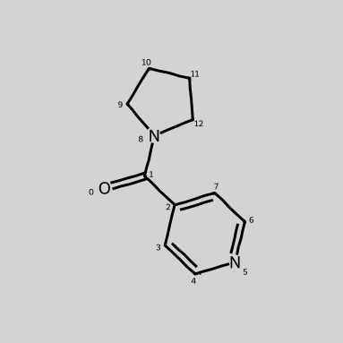 O=C(c1c[c]ncc1)N1CCCC1